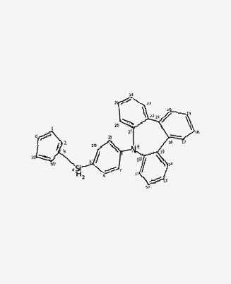 c1ccc([SiH2]c2ccc(N3c4ccccc4-c4ccccc4-c4ccccc43)cc2)cc1